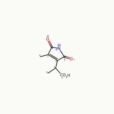 CC1=C(C(C)C(=O)O)C(=O)NC1=O